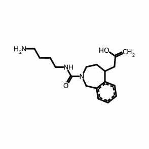 C=C(O)CC1CCN(C(=O)NCCCCN)Cc2ccccc21